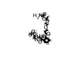 CC(OCCOCCC(=O)Nc1ccccc1C(=O)Nc1ncc([N+](=O)[O-])s1)OC(N)=O